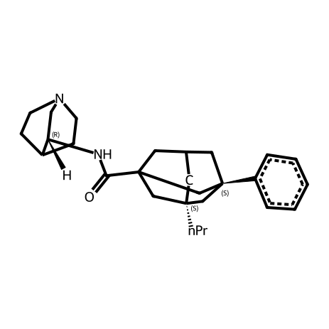 CCC[C@@]12CC3CC(C(=O)N[C@H]4CN5CCC4CC5)(C1)C[C@](c1ccccc1)(C3)C2